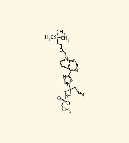 CCS(=O)(=O)N1CC(CC#N)(n2cnc(-c3ncnc4c3ccn4COCC[Si](C)(C)C)c2)C1